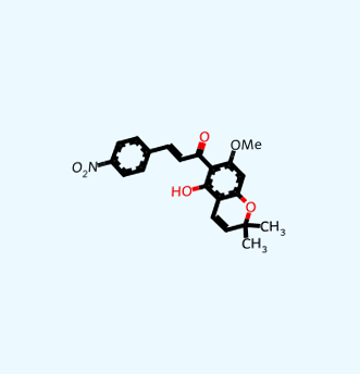 COc1cc2c(c(O)c1C(=O)/C=C/c1ccc([N+](=O)[O-])cc1)C=CC(C)(C)O2